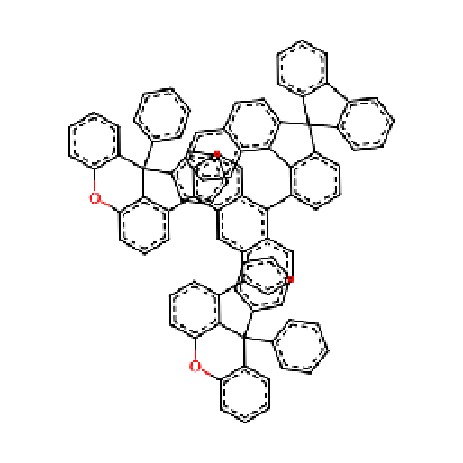 c1ccc(C2(c3ccccc3)c3ccccc3Oc3cccc(-c4cccc5c(-c6cccc7c6-c6c(ccc8ccccc68)C76c7ccccc7-c7ccccc76)c6cccc(-c7cccc8c7C(c7ccccc7)(c7ccccc7)c7ccccc7O8)c6cc45)c32)cc1